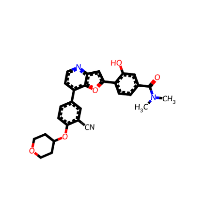 CN(C)C(=O)c1ccc(-c2cc3nccc(-c4ccc(OC5CCOCC5)c(C#N)c4)c3o2)c(O)c1